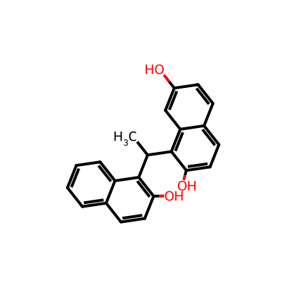 CC(c1c(O)ccc2ccccc12)c1c(O)ccc2ccc(O)cc12